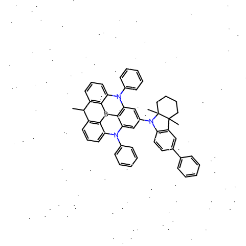 CC1c2cccc3c2B2c4c1cccc4N(c1ccccc1)c1cc(N4c5ccc(-c6ccccc6)cc5C5(C)CCCCC45C)cc(c12)N3c1ccccc1